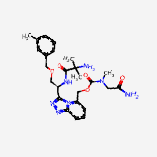 Cc1cccc(COC[C@@H](NC(=O)C(C)(C)N)c2nnc3cccc(COC(=O)N(C)CC(N)=O)n23)c1